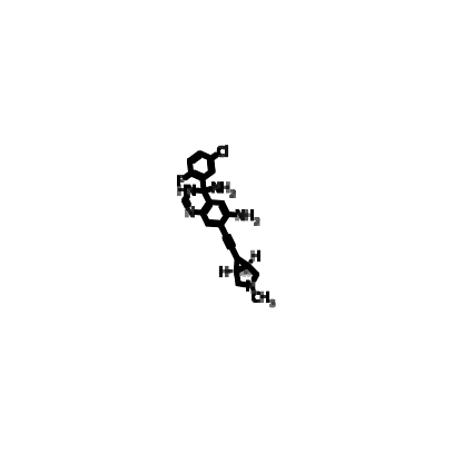 CN1C[C@@H]2C(C#Cc3cc4c(cc3N)C(N)(c3cc(Cl)ccc3F)NC=N4)[C@@H]2C1